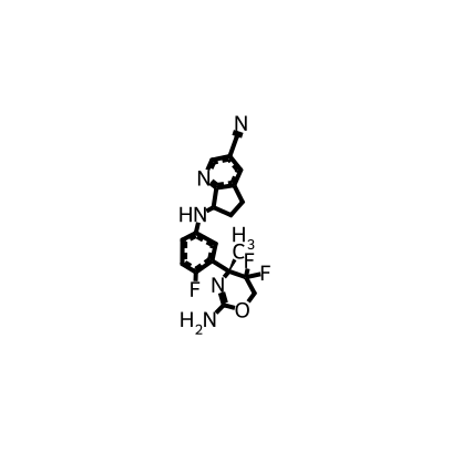 C[C@]1(c2cc(NC3CCc4cc(C#N)cnc43)ccc2F)N=C(N)OCC1(F)F